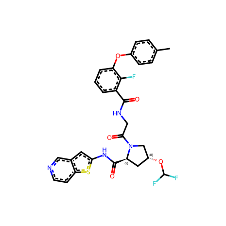 Cc1ccc(Oc2cccc(C(=O)NCC(=O)N3C[C@H](OC(F)F)C[C@H]3C(=O)Nc3cc4cnccc4s3)c2F)cc1